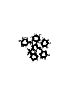 CC1(C)c2ccccc2-n2c(N(c3ccccc3)c3ccccc3)c3c4ccccc4n(-c4ccccc4)c3c21